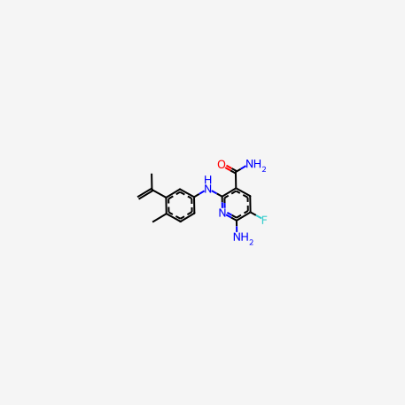 C=C(C)c1cc(Nc2nc(N)c(F)cc2C(N)=O)ccc1C